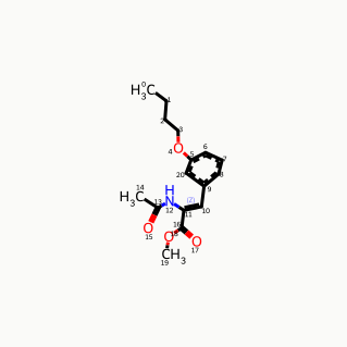 CCCCOc1cccc(/C=C(\NC(C)=O)C(=O)OC)c1